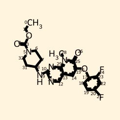 CCOC(=O)N1CCC(Nc2ncc3cc(Oc4ccc(F)cc4F)c(=O)n(C)c3n2)CC1